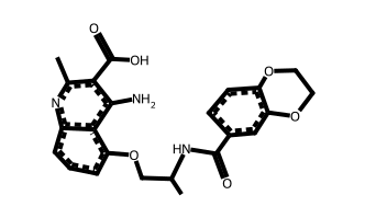 Cc1nc2cccc(OCC(C)NC(=O)c3ccc4c(c3)OCCO4)c2c(N)c1C(=O)O